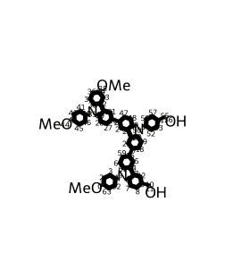 COc1ccc(-n2c3ccc(CO)cc3c3cc(-c4ccc5c(c4)c4cc(-c6ccc7c(c6)c6cc(OC)ccc6n7-c6ccc(OC)cc6)ccc4n5-c4ccc(CO)cc4)ccc32)cc1